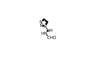 O=CNNn1ccnn1